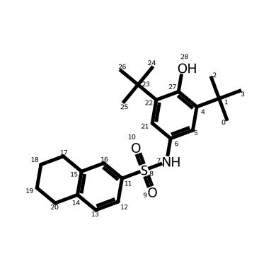 CC(C)(C)c1cc(NS(=O)(=O)c2ccc3c(c2)CCCC3)cc(C(C)(C)C)c1O